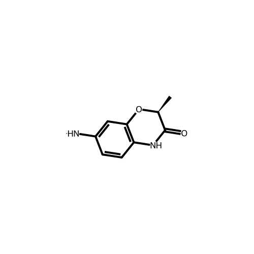 C[C@@H]1Oc2cc([NH])ccc2NC1=O